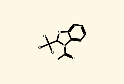 CC(=O)N1c2ccccc2OC1C(Cl)(Cl)Cl